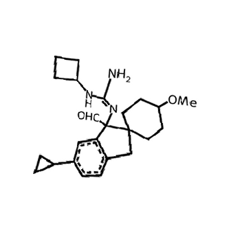 COC1CCC2(CC1)Cc1ccc(C3CC3)cc1C2(C=O)/N=C(/N)NC1CCC1